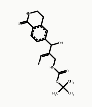 CC(C)(C)OC(=O)NCC(=CF)C(O)c1ccc2c(c1)CCNC2=O